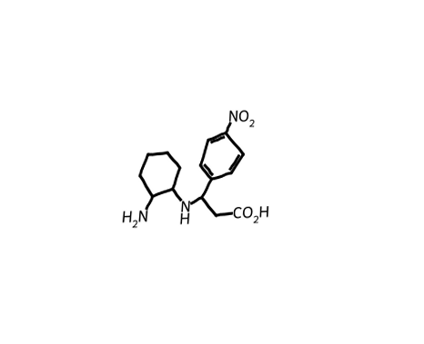 NC1CCCCC1NC(CC(=O)O)c1ccc([N+](=O)[O-])cc1